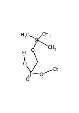 CCOP(=O)(CO[Si](C)(C)C)OCC